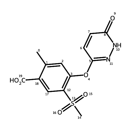 Cc1cc(Oc2ccc(=O)[nH]n2)c(S(C)(=O)=O)cc1C(=O)O